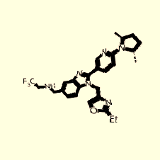 CCc1nc(Cn2c(-c3ccc(N4[C@@H](C)CC[C@@H]4C)nc3)nc3cc(CNCC(F)(F)F)ccc32)co1